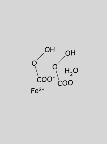 O.O=C([O-])OO.O=C([O-])OO.[Fe+2]